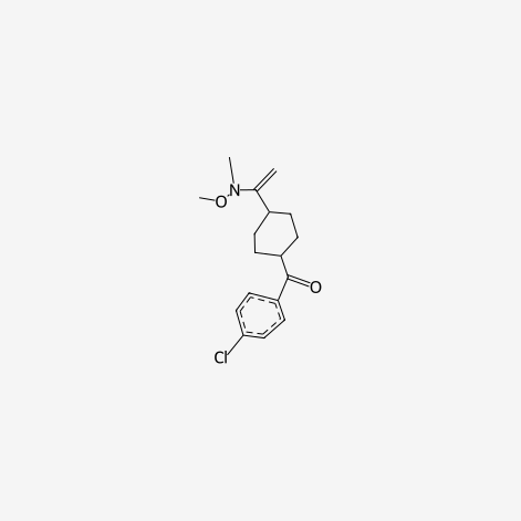 C=C(C1CCC(C(=O)c2ccc(Cl)cc2)CC1)N(C)OC